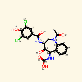 CC(=O)N1CC(NC(=O)c2cc(Cl)c(O)c(Cl)c2)C(=O)C(NC(=O)O)c2ccccc21